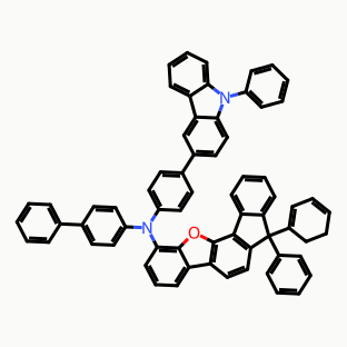 C1=CCCC(C2(c3ccccc3)c3ccccc3-c3c2ccc2c3oc3c(N(c4ccc(-c5ccccc5)cc4)c4ccc(-c5ccc6c(c5)c5ccccc5n6-c5ccccc5)cc4)cccc32)=C1